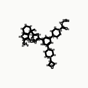 CC(C)(C)OC(=O)N1CCN(c2cc(-c3noc(C4(C)CCCc5sc(N)c(C#N)c54)n3)nc(N3CCN(C4COC4)CC3)c2)CC1